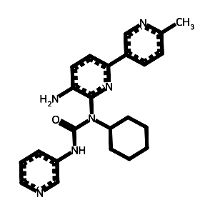 Cc1ccc(-c2ccc(N)c(N(C(=O)Nc3cccnc3)C3CCCCC3)n2)cn1